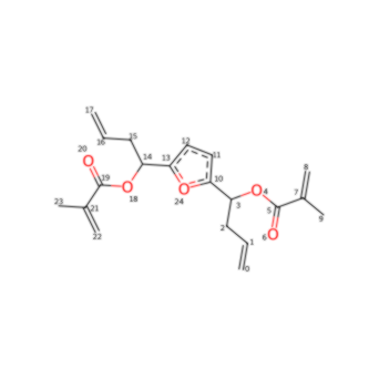 C=CCC(OC(=O)C(=C)C)c1ccc(C(CC=C)OC(=O)C(=C)C)o1